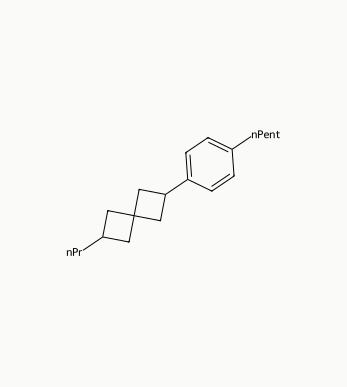 CCCCCc1ccc(C2CC3(CC(CCC)C3)C2)cc1